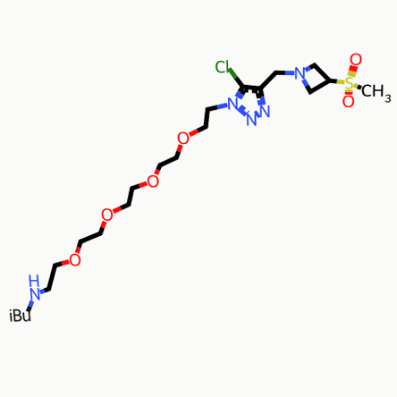 CCC(C)NCCOCCOCCOCCOCCn1nnc(CN2CC(S(C)(=O)=O)C2)c1Cl